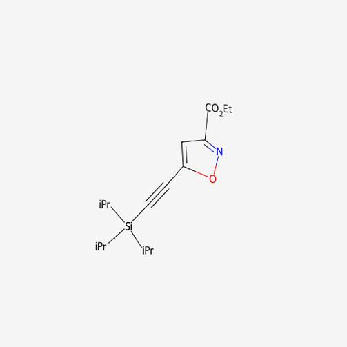 CCOC(=O)c1cc(C#C[Si](C(C)C)(C(C)C)C(C)C)on1